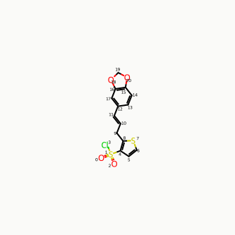 O=S(=O)(Cl)c1ccsc1C/C=C/c1ccc2c(c1)OCO2